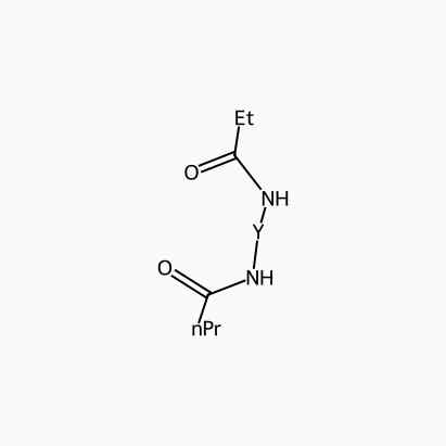 CCCC(=O)[NH][Y][NH]C(=O)CC